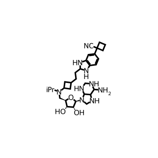 CC(C)N(C[C@H]1O[C@@H](N2CNC3C(N)NCNC32)[C@H](O)[C@@H]1O)C1CC(CCC2Nc3ccc(C4(C#N)CCC4)cc3N2)C1